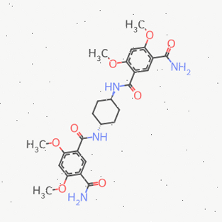 COc1cc(OC)c(C(=O)N[C@H]2CC[C@H](NC(=O)c3cc(C(N)=O)c(OC)cc3OC)CC2)cc1C(N)=O